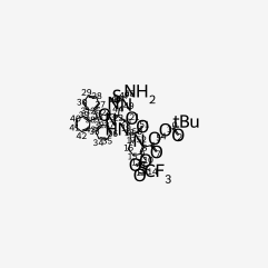 CC(C)(C)C(=O)OCOC(=O)C1=C(OS(=O)(=O)C(F)(F)F)CCC2C(NC(=O)C(=NOC(c3ccccc3)(c3ccccc3)c3ccccc3)c3nsc(N)n3)C(=O)N12